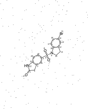 O=C1Cc2cc(S(=O)(=O)N3CCc4cc(Br)ccc43)ccc2N1